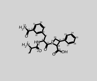 CC(N)C(=O)NC(Cc1cccc(C(N)=O)c1)C(=O)N1CC(c2ccccc2)C1C(=O)O